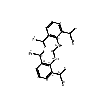 CC(C)C(C)c1cccc(C(C)C(C)C)c1NCNc1c(C(C)C(C)C)cccc1C(C)C(C)C